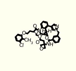 CCOC(=O)CC1(NC(=O)c2cccc(Cn3cc(-c4cccc5c4[C@H]4C[C@H]4CN5C(=O)CCCOc4cccc(Cl)c4C)cn3)c2)COC1